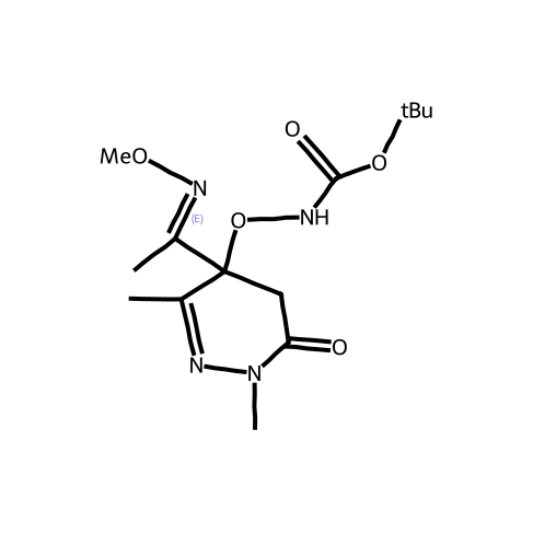 CO/N=C(\C)C1(ONC(=O)OC(C)(C)C)CC(=O)N(C)N=C1C